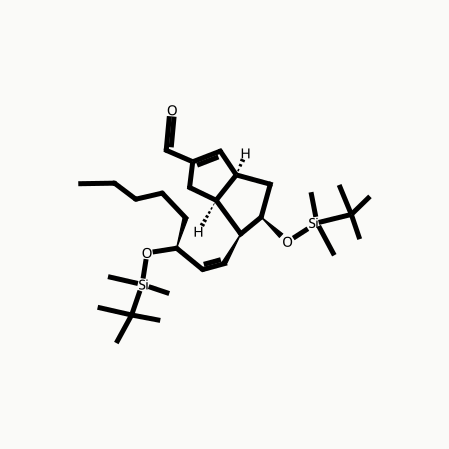 CCCCC[C@@H](/C=C\[C@H]1[C@H]2CC(C=O)=C[C@H]2C[C@H]1O[Si](C)(C)C(C)(C)C)O[Si](C)(C)C(C)(C)C